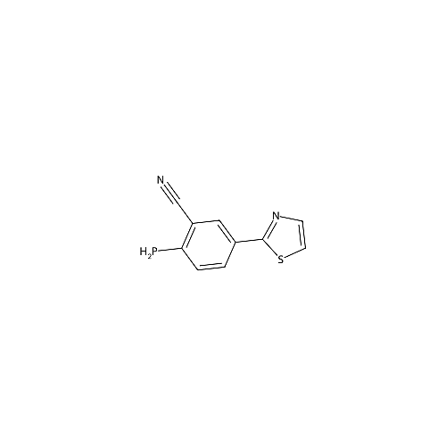 N#Cc1cc(-c2nccs2)ccc1P